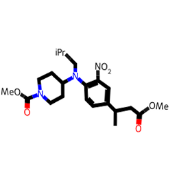 COC(=O)CC(C)c1ccc(N(CC(C)C)C2CCN(C(=O)OC)CC2)c([N+](=O)[O-])c1